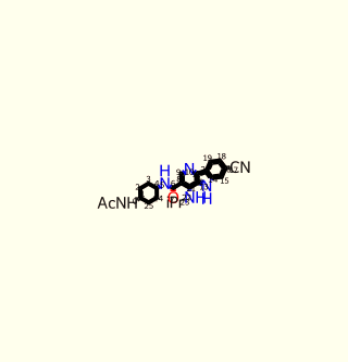 CC(=O)NC1CCC(NC(=O)c2cnc3c([nH]c4cc(C#N)ccc43)c2NC(C)C)CC1